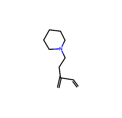 C=CC(=C)CCN1CCCCC1